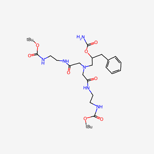 CC(C)(C)OC(=O)NCCNC(=O)CN(CC(=O)NCCNC(=O)OC(C)(C)C)CC(Cc1ccccc1)OC(N)=O